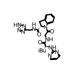 CC[C@H](C)[C@H](Nc1ncccn1)C(=O)NCC(=O)N1c2ccccc2C[C@H]1C(=O)NCc1nn[nH]n1